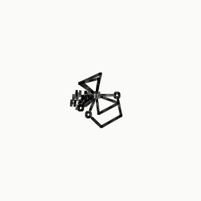 [NH2][Ti]1234([NH2])([NH2])(=[O])([CH2][CH2]1)([CH2][CH2]2)([CH2][CH2]3)[O]CC[O]4